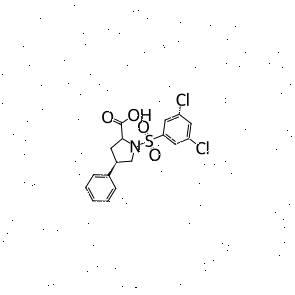 O=C(O)C1C[C@H](c2ccccc2)CN1S(=O)(=O)c1cc(Cl)cc(Cl)c1